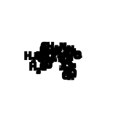 COc1cc(C2=CN=C3[N]C(=O)N=C3N2Cc2ccc3c(c2)OCO3)cc(OC)c1OC